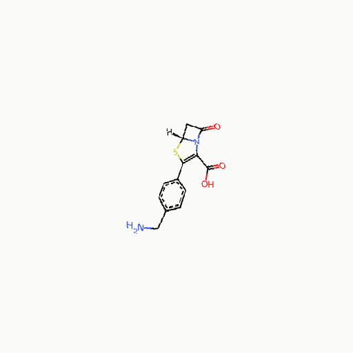 NCc1ccc(C2=C(C(=O)O)N3C(=O)C[C@H]3S2)cc1